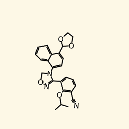 CC(C)Oc1c(C#N)cccc1C1=NOCN1c1ccc(C2OCCO2)c2ccccc12